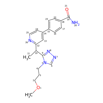 COCCCn1cnnc1C(C)c1cc(-c2ccc(C(N)=O)cc2)ccn1